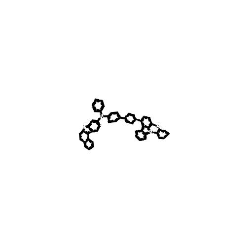 c1ccc(N(c2ccc(-c3ccc(-c4ccc5c6c4c4ccccc4n6-c4ccccc4O5)cc3)cc2)c2ccc3c(c2)oc2ccc4ccccc4c23)cc1